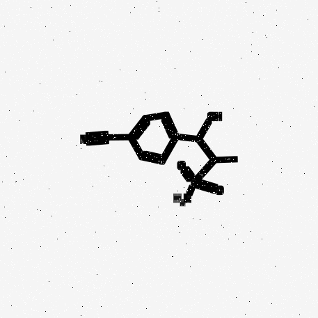 CC(C(O)c1ccc(C#N)cc1)S(N)(=O)=O